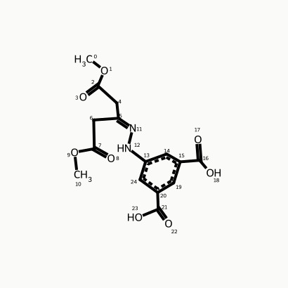 COC(=O)CC(CC(=O)OC)=NNc1cc(C(=O)O)cc(C(=O)O)c1